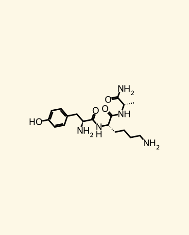 C[C@H](NC(=O)[C@H](CCCCN)NC(=O)[C@@H](N)Cc1ccc(O)cc1)C(N)=O